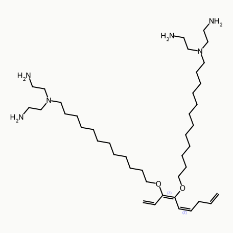 C=CC/C=C\C(OCCCCCCCCCCCCN(CCN)CCN)=C(/C=C)OCCCCCCCCCCCCN(CCN)CCN